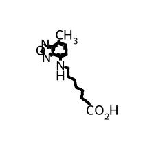 Cc1ccc(NCCCCCCCC(=O)O)c2nonc12